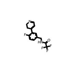 O=C(NCc1ccc(F)c(C2=CC=NCC2)c1)C(F)(F)F